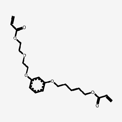 C=CC(=O)OCCCCCOc1cccc(OCCOCCOC(=O)C=C)c1